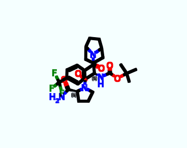 CC(C)(C)OC(=O)N[C@H](C(=O)N1CCC[C@H]1C(N)=O)C1CC2CCC(C1)N2C(=O)c1ccc(C(F)(F)F)cc1